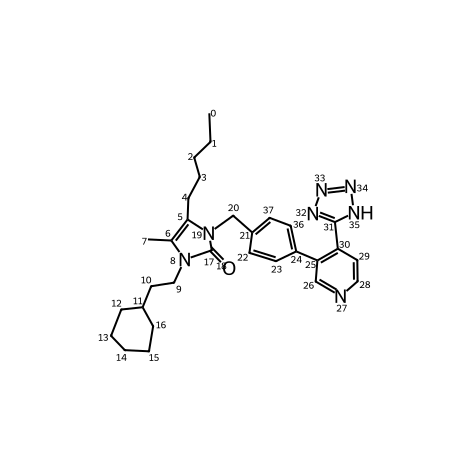 CCCCCc1c(C)n(CCC2CCCCC2)c(=O)n1Cc1ccc(-c2cnccc2-c2nnn[nH]2)cc1